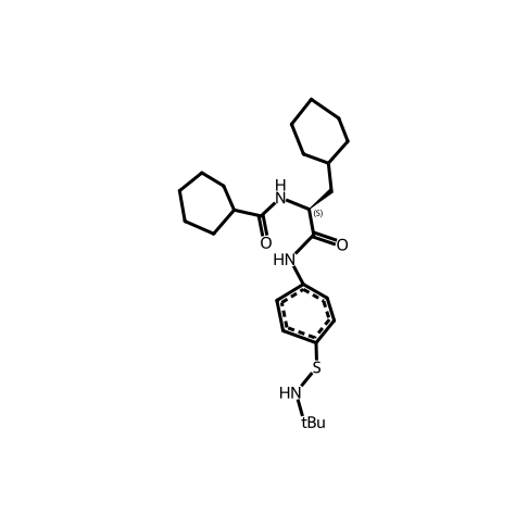 CC(C)(C)NSc1ccc(NC(=O)[C@H](CC2CCCCC2)NC(=O)C2CCCCC2)cc1